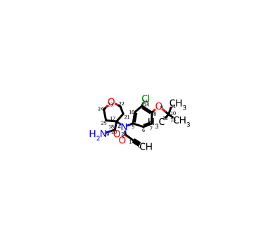 C#CC(=O)N(c1ccc(OC(C)(C)C)c(Cl)c1)C1(C(N)=O)CCOCC1